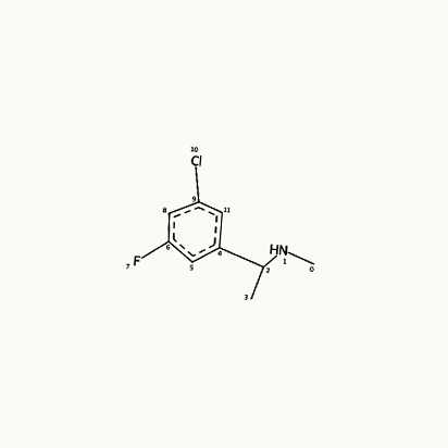 CNC(C)c1cc(F)cc(Cl)c1